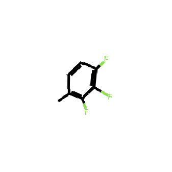 Cc1[c]cc(F)c(F)c1F